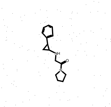 O=C(CNC1CC1c1ccccc1)N1CCCC1